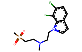 CN(CCn1ccc2ccc(F)c(F)c21)CCS(C)(=O)=O